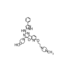 CN1CCN(CCCOc2ccc3c(n2)oc2c(N4CCOCC4)nc(Nc4cc(-c5ccccc5)n[nH]4)nc23)CC1.Cl